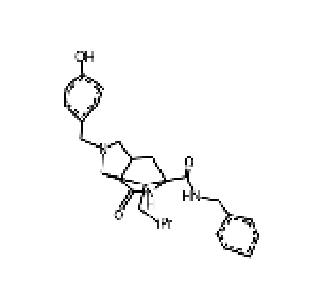 CC(C)CC1C2C3C(=O)NC1(C(=O)NCc1ccccc1)CC3CN2Cc1ccc(O)cc1